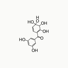 O=C(C1=C(O)C(O)C(O)(O)C=C1)c1cc(O)cc(O)c1